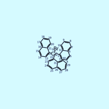 [Br][Ge]([c]1cccc2ccccc12)([c]1cccc2ccccc12)[c]1cccc2ccccc12